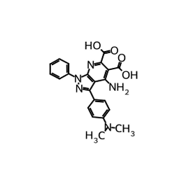 CN(C)c1ccc(-c2nn(-c3ccccc3)c3nc(C(=O)O)c(C(=O)O)c(N)c23)cc1